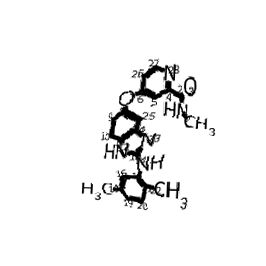 CNC(=O)c1cc(Oc2ccc3[nH]c(Nc4cc(C)ccc4C)nc3c2)ccn1